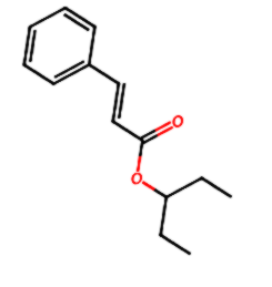 CCC(CC)OC(=O)/C=C/c1ccccc1